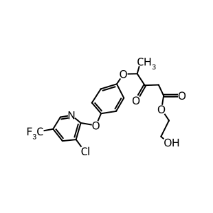 CC(Oc1ccc(Oc2ncc(C(F)(F)F)cc2Cl)cc1)C(=O)CC(=O)OCCO